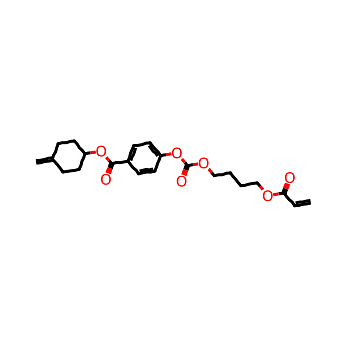 C=CC(=O)OCCCCOC(=O)Oc1ccc(C(=O)OC2CCC(=C)CC2)cc1